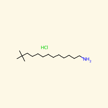 CC(C)(C)CCCCCCCCCCCN.Cl